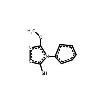 COc1nnc(S)n1-c1ccccc1